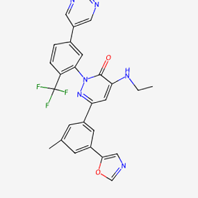 CCNc1cc(-c2cc(C)cc(-c3cnco3)c2)nn(-c2cc(-c3cncnc3)ccc2C(F)(F)F)c1=O